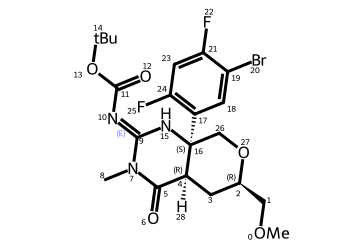 COC[C@H]1C[C@H]2C(=O)N(C)/C(=N/C(=O)OC(C)(C)C)N[C@@]2(c2cc(Br)c(F)cc2F)CO1